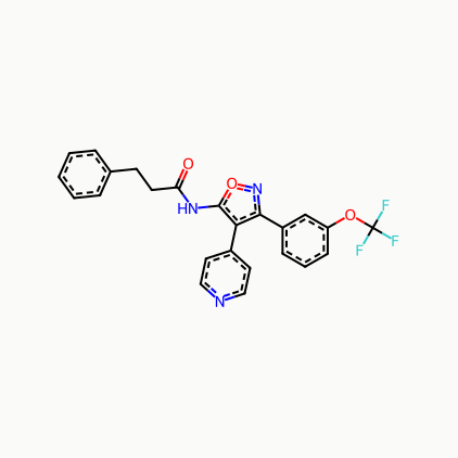 O=C(CCc1ccccc1)Nc1onc(-c2cccc(OC(F)(F)F)c2)c1-c1ccncc1